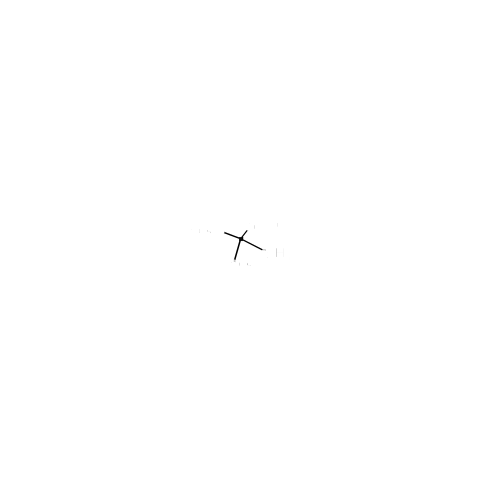 CCCCCCCCC([SiH3])(CCCCCCCC)CCCCCCCC